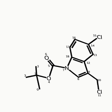 CC(C)(C)OC(=O)n1cc(CCl)c2cc(Cl)ccc21